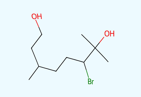 CC(CCO)CCC(Br)C(C)(C)O